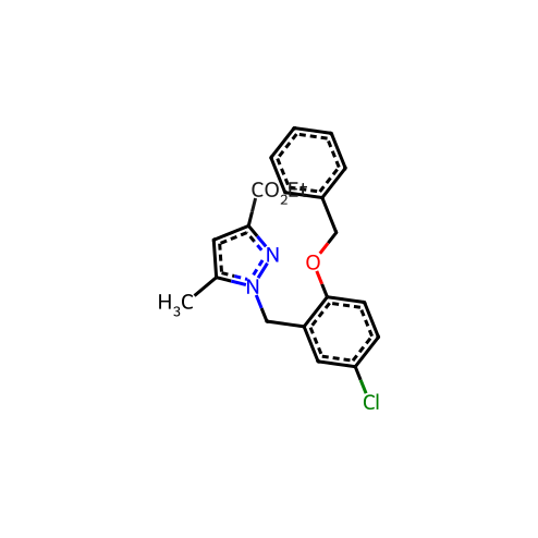 CCOC(=O)c1cc(C)n(Cc2cc(Cl)ccc2OCc2ccccc2)n1